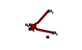 CCCCCCCCCCCCCCCCCCCCCCCC#CCCCc1ccccc1N=C(CCCC)C(CCCCCC)=Nc1ccccc1CCCC#CCCCCCCCCCCCCCCCCCCCCCCC.[Ni]